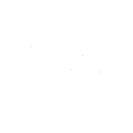 CC1(C)NC(=O)N(CC2CC2CBr)C1=O